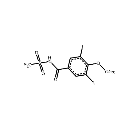 CCCCCCCCCCOc1c(I)cc(C(=O)NS(=O)(=O)C(F)(F)F)cc1I